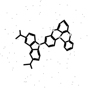 CC(C)c1ccc2c(c1)c1cc(C(C)C)ccc1n2-c1ccc2c(c1)Oc1cccc3c1B2c1ccccc1O3